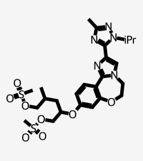 Cc1nc(-c2cn3c(n2)-c2ccc(OC(COS(C)(=O)=O)CC(C)COS(C)(=O)=O)cc2OCC3)n(C(C)C)n1